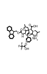 CC(C)C[C@@H](C(=O)NN)[C@H](C(=O)O)C(C=Cc1cccnc1)(CC(C)C)C(=O)[C@@H](C)NC(=O)OCC1c2ccccc2-c2ccccc21.O=C(O)C(F)(F)F